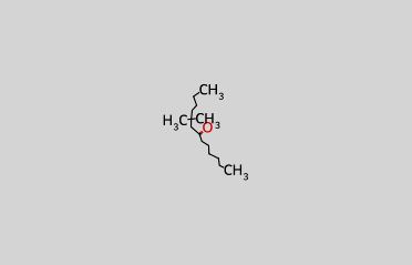 CCCCCCC(=O)CC(C)(C)CCCC